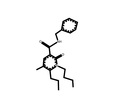 CCCCn1c(CCC)c(C)cc(C(=O)NCc2ccccc2)c1=O